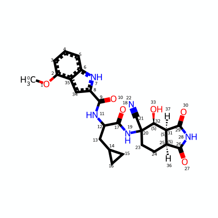 COc1cccc2[nH]c(C(=O)NC(CC3CC3)C(=O)NC3(C#N)CC[C@@H]4C(=O)NC(=O)[C@@H]4[C@@H]3O)cc12